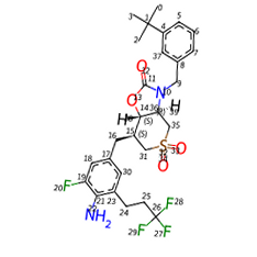 CC(C)(C)c1cccc(CN2C(=O)O[C@H]3[C@H](Cc4cc(F)c(N)c(CCC(F)(F)F)c4)CS(=O)(=O)C[C@@H]32)c1